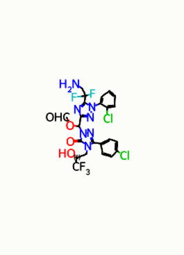 NCC(F)(F)c1nc(C(OC=O)n2nc(-c3ccc(Cl)cc3)n(C[C@H](O)C(F)(F)F)c2=O)nn1-c1ccccc1Cl